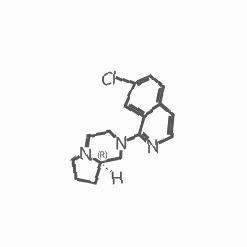 Clc1ccc2ccnc(N3CCN4CCC[C@@H]4C3)c2c1